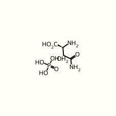 NC(=O)C[C@H](N)C(=O)O.O.O=P(O)(O)O